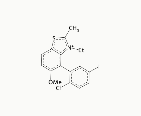 CC[n+]1c(C)sc2ccc(OC)c(-c3cc(I)ccc3Cl)c21